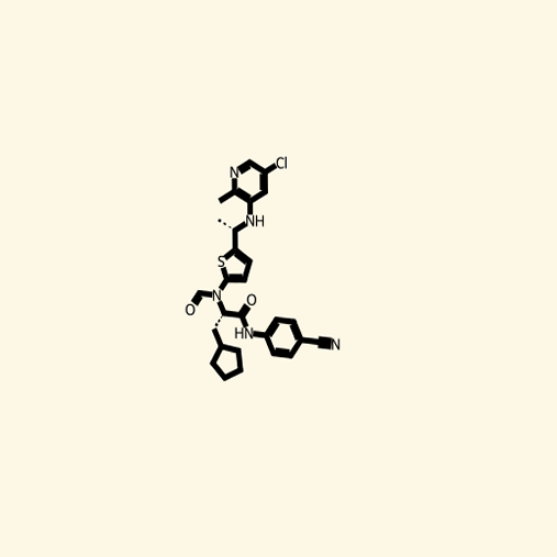 Cc1ncc(Cl)cc1N[C@@H](C)c1ccc(N(C=O)[C@@H](CC2CCCC2)C(=O)Nc2ccc(C#N)cc2)s1